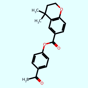 BC(=O)c1ccc(OC(=O)c2ccc3c(c2)C(C)(C)CCO3)cc1